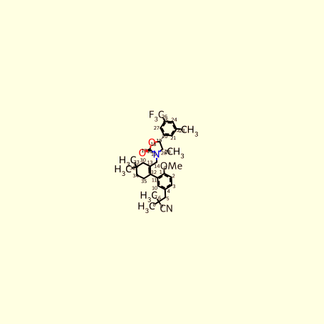 COc1ccc(CC(C)(C)C#N)cc1C1=C(CN2C(=O)O[C@H](c3cc(C)cc(C(F)(F)F)c3)[C@@H]2C)CC(C)(C)CC1